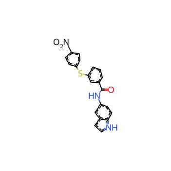 O=C(Nc1ccc2[nH]ccc2c1)c1cccc(Sc2ccc([N+](=O)[O-])cc2)c1